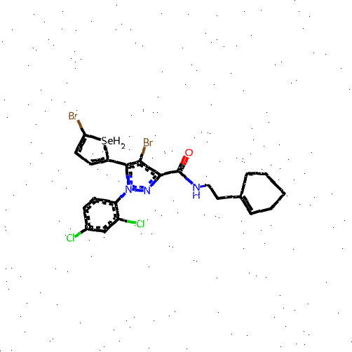 O=C(NCCC1=CCCCC1)c1nn(-c2ccc(Cl)cc2Cl)c(C2=CC=C(Br)[SeH2]2)c1Br